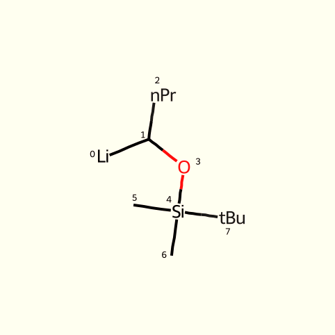 [Li][CH](CCC)O[Si](C)(C)C(C)(C)C